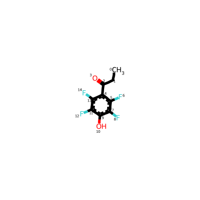 CCC(=O)c1c(F)c(F)c(O)c(F)c1F